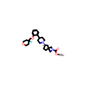 CC(C)(C)OC(=O)N1CC2(CC[C@@H](N3CCC(c4ccccc4OCC4(F)CCOCC4)CC3)C2)C1